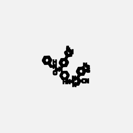 Cn1cc(-c2ccc(N(C(=O)NCc3ccccc3)[C@H]3CC[C@H](Nc4ncc(C#N)c(-c5ccc6ncsc6c5)n4)CC3)cc2)cn1